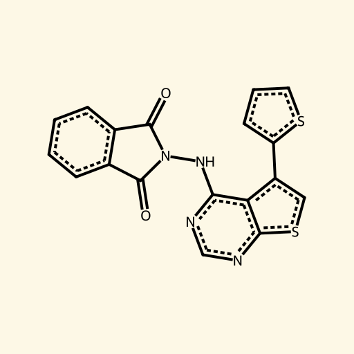 O=C1c2ccccc2C(=O)N1Nc1ncnc2scc(-c3cccs3)c12